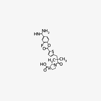 CC(C)(Cc1ccc(C(=O)Oc2ccc(C(=N)N)cc2F)s1)C(=O)N1CC[C@@H](C(=O)O)C1